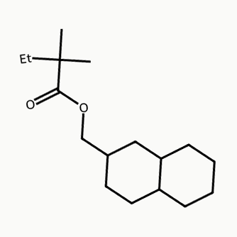 CCC(C)(C)C(=O)OCC1CCC2CCCCC2C1